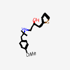 COc1ccc(CC(C)(C)NCC(O)Cc2cccs2)cc1